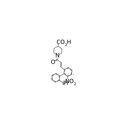 CC(C)c1ccccc1-c1c([N+](=O)[O-])[c]ccc1/C=C/C(=O)N1CCC(C(=O)O)CC1